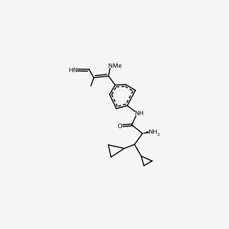 CN/C(=C(/C)C=N)c1ccc(NC(=O)[C@@H](N)C(C2CC2)C2CC2)cc1